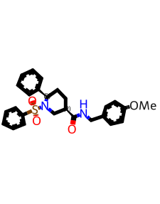 COc1ccc(CNC(=O)[C@@H]2CC[C@H](c3ccccc3)N(S(=O)(=O)c3ccccc3)C2)cc1